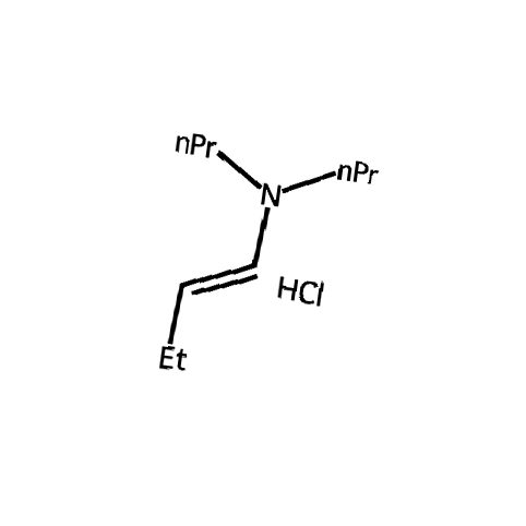 CCC=CN(CCC)CCC.Cl